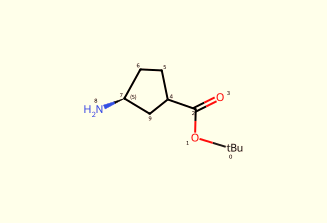 CC(C)(C)OC(=O)C1CC[C@H](N)C1